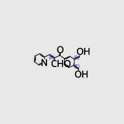 O=C/C(=C\c1ccccn1)C(=O)c1ccc(=C\O)/c(=C/O)c1